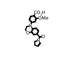 COc1cc(N2CCOc3cc(C(=O)N4C=CCC4)ccc32)ccc1C(=O)O